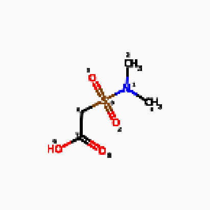 CN(C)S(=O)(=O)CC(=O)O